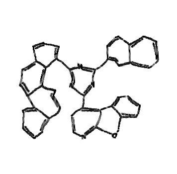 c1ccc2cc(-c3nc(-c4cccc5ccc6c7ccccc7ccc6c45)nc(-c4ccnc5oc6ccccc6c45)n3)ccc2c1